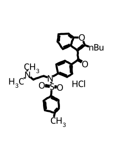 CCCCc1oc2ccccc2c1C(=O)c1ccc(N(CCN(C)C)S(=O)(=O)c2ccc(C)cc2)cc1.Cl